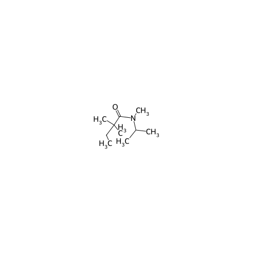 CCC(C)(C)C(=O)N(C)C(C)C